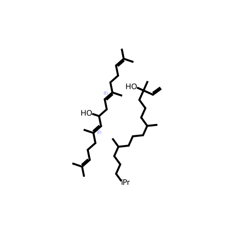 C=CC(C)(O)CCCC(C)CCCC(C)CCCC(C)C.CC(C)=CCC/C(C)=C/CC(O)/C=C(\C)CCC=C(C)C